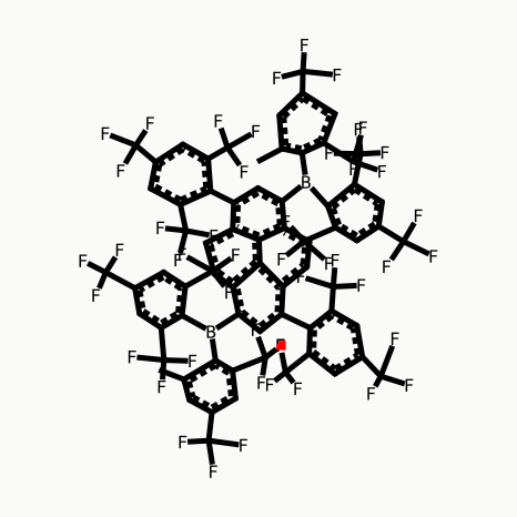 Cc1cc(C(F)(F)F)cc(C(F)(F)F)c1B(c1c(C(F)(F)F)cc(C(F)(F)F)cc1C(F)(F)F)c1cc(-c2c(C(F)(F)F)cc(C(F)(F)F)cc2C(F)(F)F)c2ccc3c(B(c4c(C)cc(C(F)(F)F)cc4C(F)(F)F)c4c(C(F)(F)F)cc(C(F)(F)F)cc4C(F)(F)F)cc(-c4c(C(F)(F)F)cc(C(F)(F)F)cc4C(F)(F)F)c4ccc1c2c34